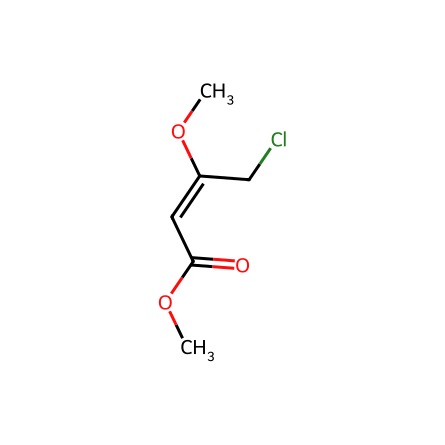 COC(=O)/C=C(\CCl)OC